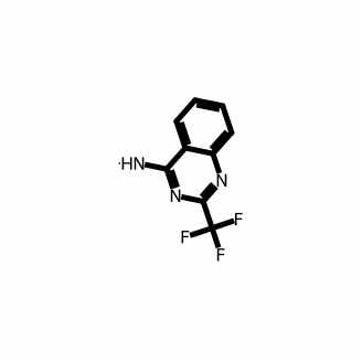 [NH]c1nc(C(F)(F)F)nc2ccccc12